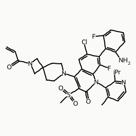 C=CC(=O)N1CC2(CCN(c3c(S(C)(=O)=O)c(=O)n(-c4c(C)ccnc4C(C)C)c4c(F)c(-c5c(N)cccc5F)c(Cl)cc34)CC2)C1